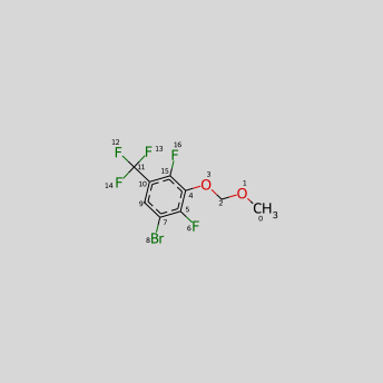 COCOc1c(F)c(Br)cc(C(F)(F)F)c1F